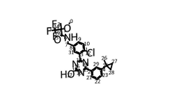 COC(C)(C(=O)NCc1ccc(Cl)c(-c2nc(O)nc(-c3cccc(C4(C)CC4)c3)n2)c1)C(F)(F)F